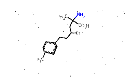 CCC(CCc1ccc(C(F)(F)F)cc1)CC(C)(N)C(=O)O